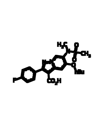 CCCCOc1cc2c(C(=O)O)c(-c3ccc(F)cc3)nn2cc1N(C)S(C)(=O)=O